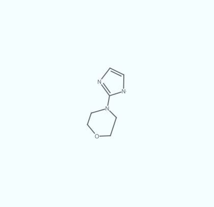 C1=CN=C(N2CCOCC2)[N]1